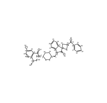 O=C(N[C@H]1CC[C@H](CN2C(=O)C3(CN(C(=O)c4ccccc4)C3)c3ccccc32)CC1)c1cc(Cl)cnc1C(F)F